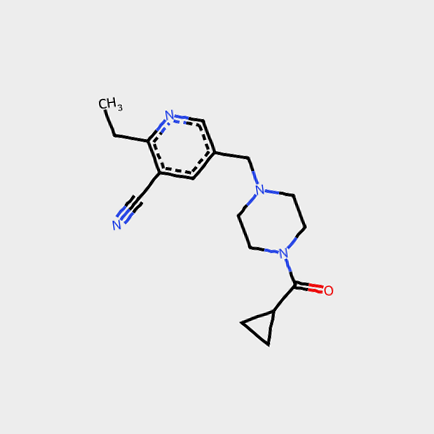 CCc1ncc(CN2CCN(C(=O)C3CC3)CC2)cc1C#N